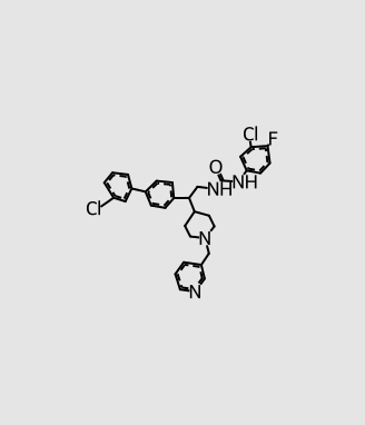 O=C(NCC(c1ccc(-c2cccc(Cl)c2)cc1)C1CCN(Cc2cccnc2)CC1)Nc1ccc(F)c(Cl)c1